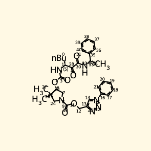 CCCC[C@H](NC(=O)O[C@@H]1CN(C(=O)OCc2cn(-c3ccccc3)nn2)CC1(C)C)C(=O)C(=O)N[C@H](C)c1ccccc1